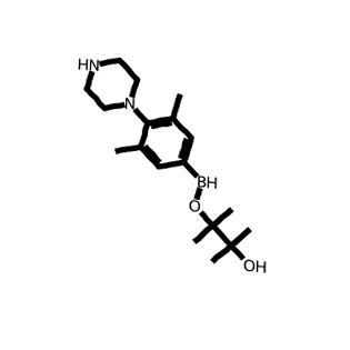 Cc1cc(BOC(C)(C)C(C)(C)O)cc(C)c1N1CCNCC1